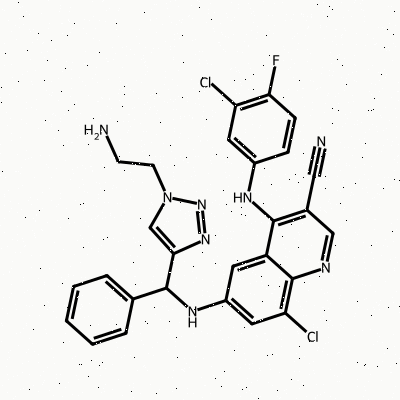 N#Cc1cnc2c(Cl)cc(NC(c3ccccc3)c3cn(CCN)nn3)cc2c1Nc1ccc(F)c(Cl)c1